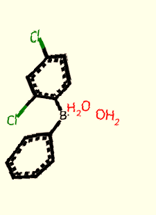 Clc1ccc([B]c2ccccc2)c(Cl)c1.O.O